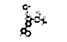 C=C(F)C(=O)N1CCN(c2nc(OC[C@@H]3CCCN3C)nc3cc(-c4ccc(F)c5c4CCCS5)ccc23)C[C@@H]1CC#N